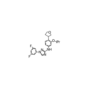 CC(C)Oc1cc(Nc2ncn(-c3cc(F)cc(F)c3)n2)ccc1C1CCOC1